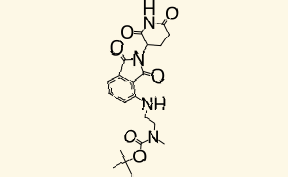 CN(CCNc1cccc2c1C(=O)N(C1CCC(=O)NC1=O)C2=O)C(=O)OC(C)(C)C